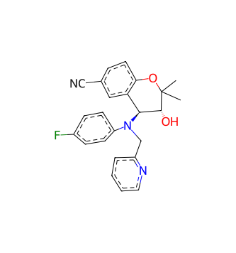 CC1(C)Oc2ccc(C#N)cc2[C@H](N(Cc2ccccn2)c2ccc(F)cc2)[C@H]1O